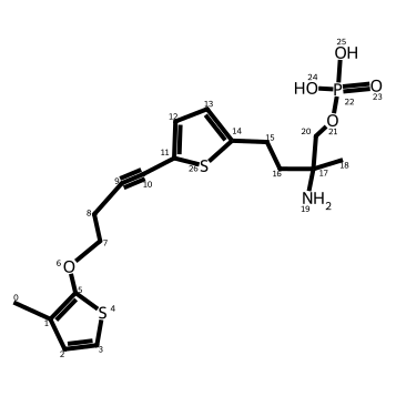 Cc1ccsc1OCCC#Cc1ccc(CCC(C)(N)COP(=O)(O)O)s1